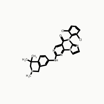 CN1Cc2cc(Nc3ncc4c(=O)n(-c5c(Cl)cccc5Cl)c5nccn5c4n3)ccc2C(C)(C)C1